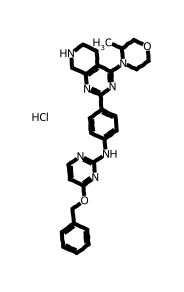 CC1COCCN1c1nc(-c2ccc(Nc3nccc(OCc4ccccc4)n3)cc2)nc2c1CCNC2.Cl